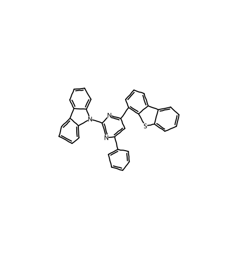 c1ccc(-c2cc(-c3cccc4c3sc3ccccc34)nc(-n3c4ccccc4c4ccccc43)n2)cc1